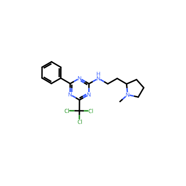 CN1CCCC1CCNc1nc(-c2ccccc2)nc(C(Cl)(Cl)Cl)n1